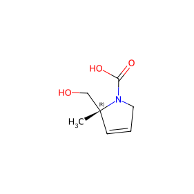 C[C@]1(CO)C=CCN1C(=O)O